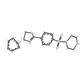 O=S(=O)(c1ccc(C2=N[C@H](c3ccccc3)CO2)cc1)N1CCOCC1